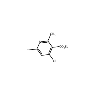 CCOC(=O)c1c(Cl)cc(CC)nc1C